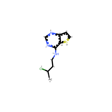 CC(=O)C(Cl)CCNc1ncnc2ccsc12